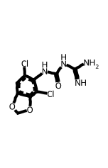 N=C(N)NC(=O)Nc1c(Cl)cc2c(c1Cl)OCO2